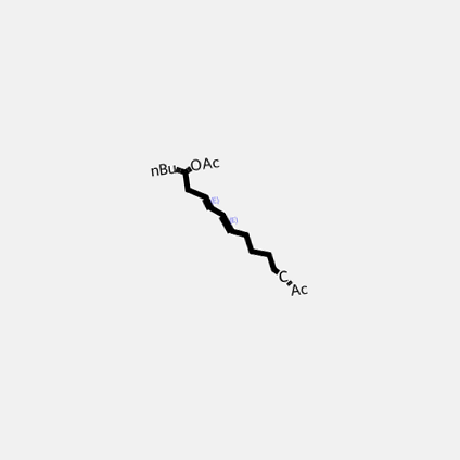 CCCCC(C/C=C/C=C/CCCCCC(C)=O)OC(C)=O